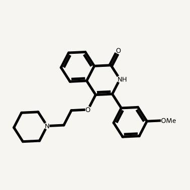 COc1cccc(-c2[nH]c(=O)c3ccccc3c2OCCN2CCCCC2)c1